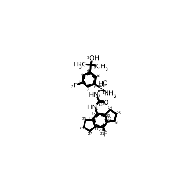 CC(C)(O)c1cc(F)cc([SH](N)(=O)NC(=O)Nc2c3c(c(F)c4c2CCC4)CCC3)c1